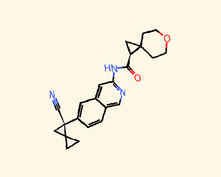 N#C[C@]1(c2ccc3cnc(NC(=O)[C@H]4CC45CCOCC5)cc3c2)CC12CC2